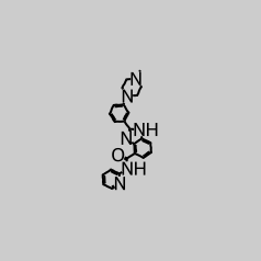 CN1CCN(c2cccc(-c3nc4c(C(=O)Nc5ccccn5)cccc4[nH]3)c2)CC1